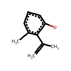 C=C(C)c1c(C)cccc1Br